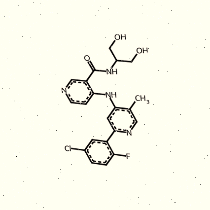 Cc1cnc(-c2cc(Cl)ccc2F)cc1Nc1ccncc1C(=O)NC(CO)CO